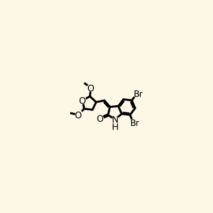 COC1CC(C=C2C(=O)Nc3c(Br)cc(Br)cc32)C(OC)O1